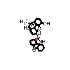 CN1CC[C@]23c4c5ccc(O)c4O[C@H]2C(OC(=O)N[C@@]2(c4ccccc4Cl)CCCCC2=O)C=C[C@H]3[C@H]1C5